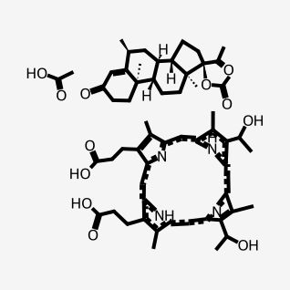 CC(=O)O.CC(=O)O[C@]1(C(C)=O)CC[C@H]2[C@@H]3C[C@H](C)C4=CC(=O)CC[C@]4(C)[C@H]3CC[C@@]21C.CC1=C(CCC(=O)O)c2cc3[nH]c(cc4nc(cc5[nH]c(cc1n2)c(C)c5C(C)O)C(C)=C4C(C)O)c(C)c3CCC(=O)O